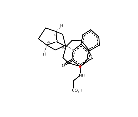 O=C(O)CNc1nc2ccccc2n([C@@H]2C[C@H]3CC[C@@H](C2)N3C2CCCCCCC2)c1=O